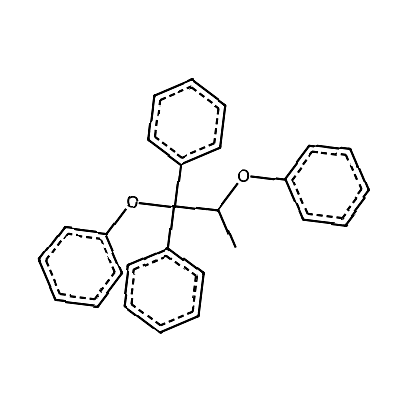 CC(Oc1ccccc1)C(Oc1ccccc1)(c1ccccc1)c1ccccc1